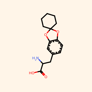 NC(Cc1ccc2c(c1)OC1(CCCCC1)O2)C(=O)O